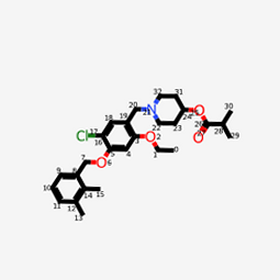 CCOc1cc(OCc2cccc(C)c2C)c(Cl)cc1CN1CCC(OC(=O)C(C)C)CC1